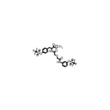 CNC(=O)C(Cc1ccc(OS(=O)(=O)C(F)(F)F)cc1)NC(=O)COCC(=O)Nc1cccc(OS(=O)(=O)C(F)(F)F)c1